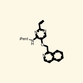 C=Cc1ncc(OCc2nccc3ccccc23)c(N[C@@H](C)CCC)n1